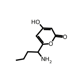 CCCC(N)c1cc(O)cc(=O)o1